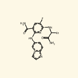 CCC(Nc1nc(Nc2ccc3nccn3c2)c(C(N)=O)cc1F)C(N)=O